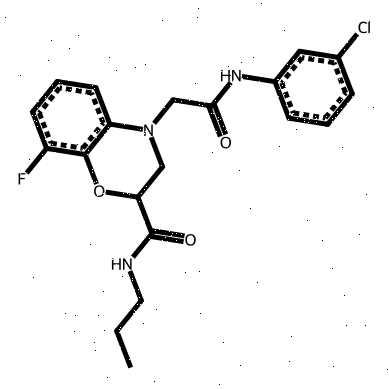 CCCNC(=O)C1CN(CC(=O)Nc2cccc(Cl)c2)c2cccc(F)c2O1